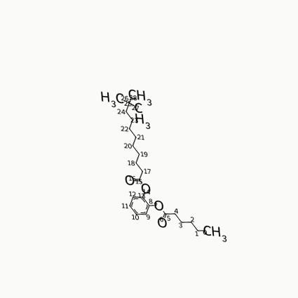 CCCCCC(=O)Oc1ccccc1OC(=O)CCCCCCCCC(C)(C)C